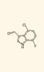 O=Cc1c[nH]c2c(F)ccc(Cl)c12